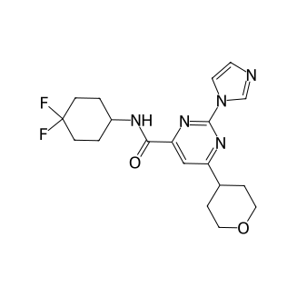 O=C(NC1CCC(F)(F)CC1)c1cc(C2CCOCC2)nc(-n2ccnc2)n1